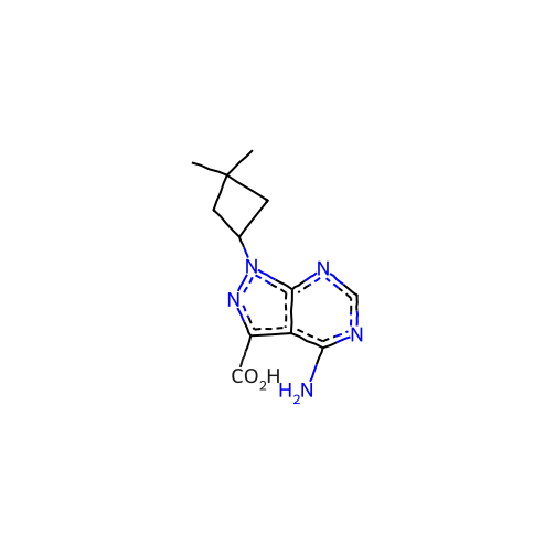 CC1(C)CC(n2nc(C(=O)O)c3c(N)ncnc32)C1